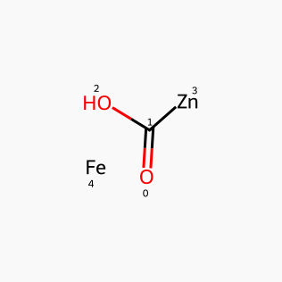 O=[C](O)[Zn].[Fe]